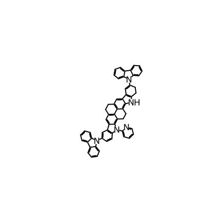 C1=C(n2c3ccccc3c3ccccc32)CCc2[nH]c3c4c5c(cc3c21)CCc1cc2c3cc(-n6c7ccccc7c7ccccc76)ccc3n(-c3ccccn3)c2c(c1-5)CC4